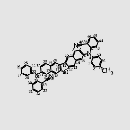 Cc1ccc(N(c2ccc3cc4c(cc3c2)oc2cc3cc(N(c5ccccc5)c5ccccc5C#N)ccc3cc24)c2ccccc2C#N)cc1